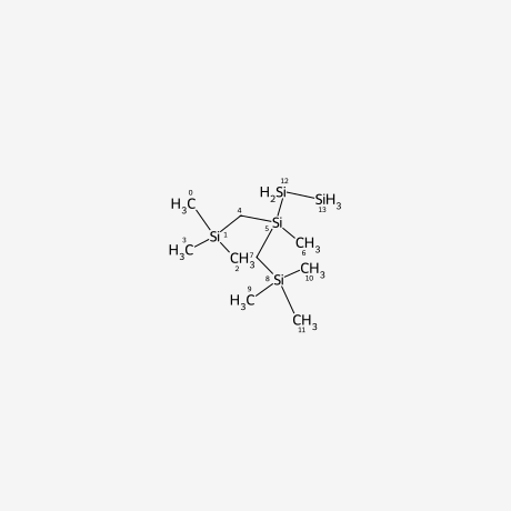 C[Si](C)(C)C[Si](C)(C[Si](C)(C)C)[SiH2][SiH3]